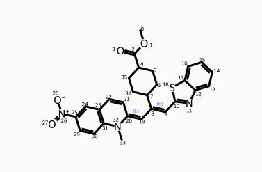 COC(=O)C1CCC(C(=C\c2nc3ccccc3s2)/C=C2\C=Cc3cc([N+](=O)[O-])ccc3N2C)CC1